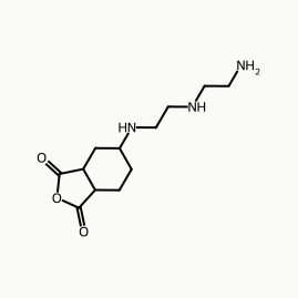 NCCNCCNC1CCC2C(=O)OC(=O)C2C1